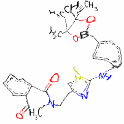 CN(Cc1csc(Nc2cccc(B3OC(C)(C)C(C)(C)O3)c2)n1)C(=O)c1ccccc1C=O